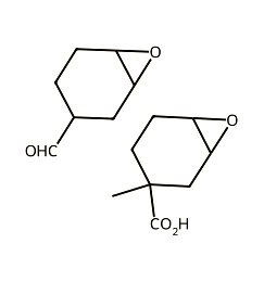 CC1(C(=O)O)CCC2OC2C1.O=CC1CCC2OC2C1